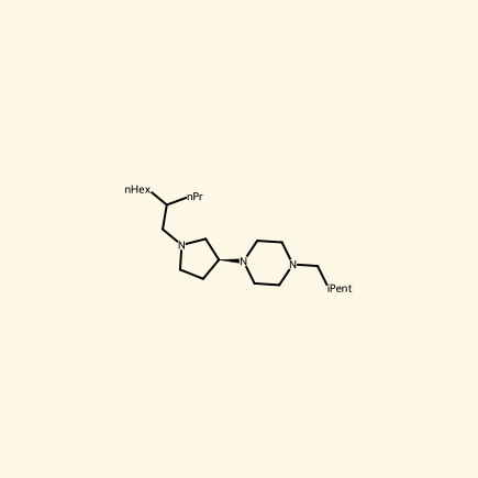 CCCCCCC(CCC)CN1CC[C@H](N2CCN(CC(C)CCC)CC2)C1